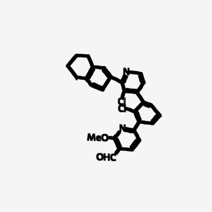 COc1nc(-c2cccc(-c3ccnc(-c4ccc5c(c4)CCC[CH]5)c3Cl)c2Cl)ccc1C=O